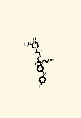 C[C@H](NCc1nc2ccc(Oc3ccc(F)cc3)cc2n1CCO)C(=O)N1CCNC(N)C1